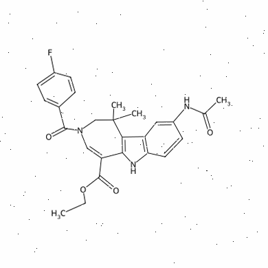 CCOC(=O)C1=CN(C(=O)c2ccc(F)cc2)CC(C)(C)c2c1[nH]c1ccc(NC(C)=O)cc21